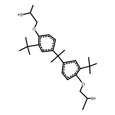 CC(S)COc1ccc(C(C)(C)c2ccc(OCC(C)S)c(C(C)(C)C)c2)cc1C(C)(C)C